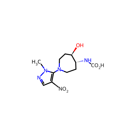 Cn1ncc([N+](=O)[O-])c1N1CC[C@@H](O)[C@H](NC(=O)O)CC1